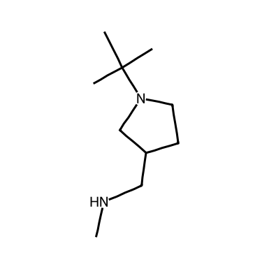 CNCC1CCN(C(C)(C)C)C1